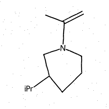 C=C(C)N1CCCC(C(C)C)C1